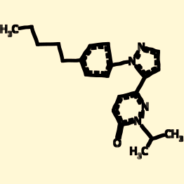 CCCCCc1ccc(-n2nccc2-c2ccc(=O)n(C(C)C)n2)cc1